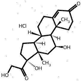 C[C@]12CCC(=O)C=C1CC[C@@H]1[C@@H]2[C@@H](O)C[C@@]2(C)[C@H]1CC[C@]2(O)C(=O)CO.Cl